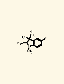 CC1N(C)c2ccc(F)cc2C1(C)C.I